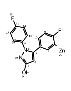 Oc1cc(-c2ccc(F)cc2)n(-c2ccc(F)cc2)n1.[Zn]